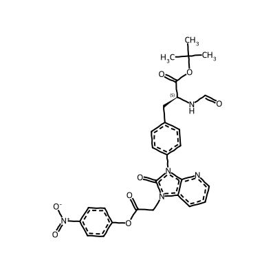 CC(C)(C)OC(=O)[C@H](Cc1ccc(-n2c(=O)n(CC(=O)Oc3ccc([N+](=O)[O-])cc3)c3cccnc32)cc1)NC=O